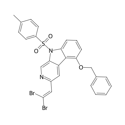 Cc1ccc(S(=O)(=O)n2c3cnc(C=C(Br)Br)cc3c3c(OCc4ccccc4)cccc32)cc1